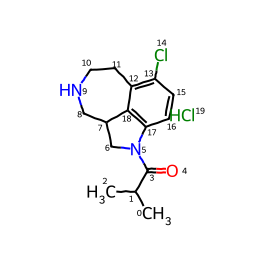 CC(C)C(=O)N1CC2CNCCc3c(Cl)ccc1c32.Cl